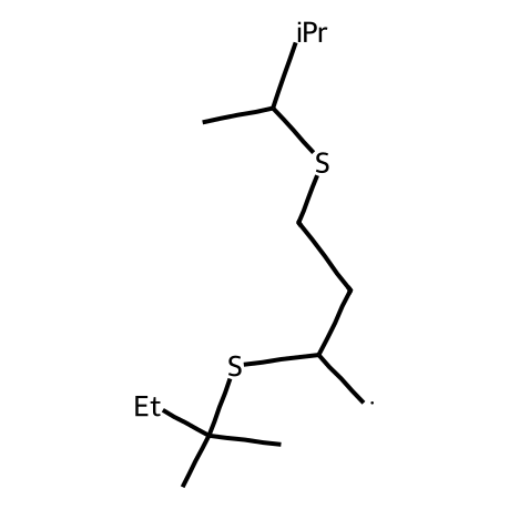 [CH2]C(CCSC(C)C(C)C)SC(C)(C)CC